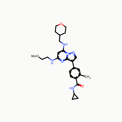 COCCNc1cc(NCC2CCOCC2)n2ncc(-c3ccc(C(=O)NC4CC4)c(C)c3)c2n1